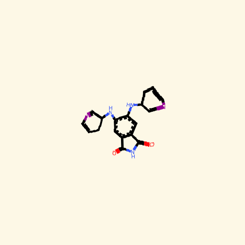 O=C1NC(=O)c2cc(NC3C=IC=CC3)c(NC3C=IC=CC3)cc21